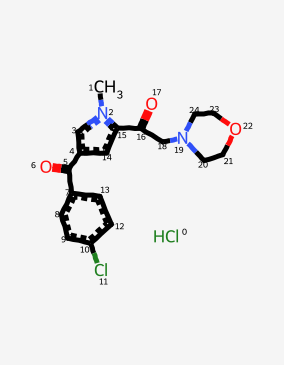 Cl.Cn1cc(C(=O)c2ccc(Cl)cc2)cc1C(=O)CN1CCOCC1